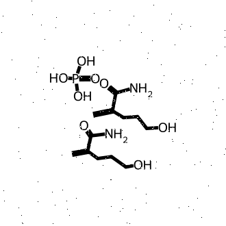 C=C(CCCO)C(N)=O.C=C(CCCO)C(N)=O.O=P(O)(O)O